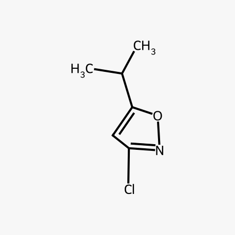 CC(C)c1cc(Cl)no1